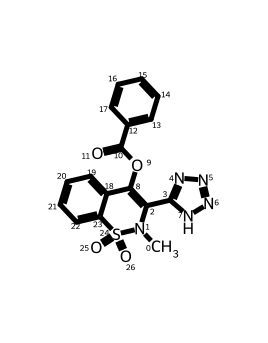 CN1C(c2nnn[nH]2)=C(OC(=O)c2ccccc2)c2ccccc2S1(=O)=O